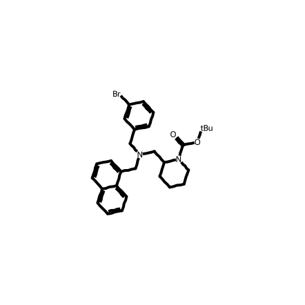 CC(C)(C)OC(=O)N1CCCCC1CN(Cc1cccc(Br)c1)Cc1cccc2ccccc12